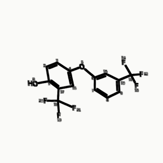 Oc1ccc(Oc2cccc(C(F)(F)F)c2)cc1C(F)(F)F